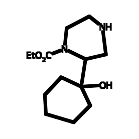 CCOC(=O)N1CCNCC1C1(O)CCCCC1